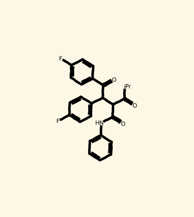 CC(C)C(=O)C(C(=O)Nc1ccccc1)C(C(=O)c1ccc(F)cc1)c1ccc(F)cc1